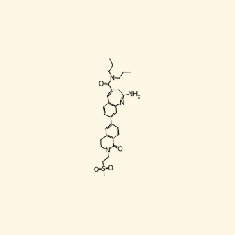 CCCN(CCC)C(=O)C1=Cc2ccc(-c3ccc4c(c3)CCN(CCS(C)(=O)=O)C4=O)cc2N=C(N)C1